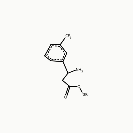 CC(C)(C)OC(=O)CC(N)c1cccc(C(F)(F)F)c1